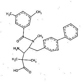 Cc1cc(C)cc(C(=O)N(C)C(Cc2ccc(-c3ccccc3)cc2)C(N)C(C)(C)C(=O)O)c1